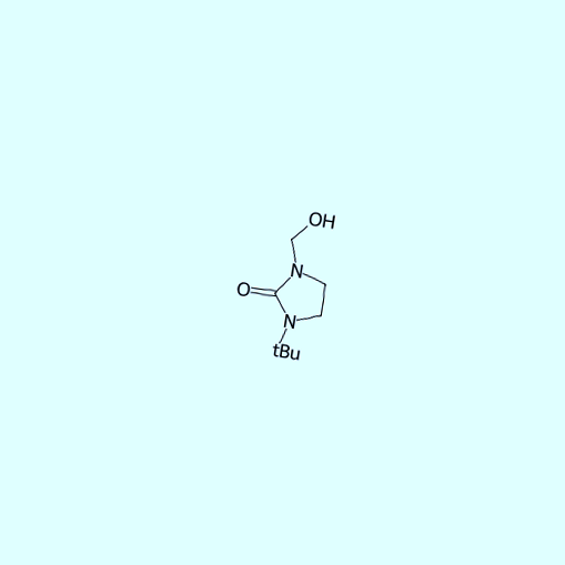 CC(C)(C)N1CCN(CO)C1=O